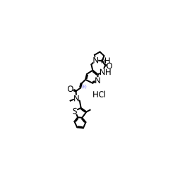 Cc1c(CN(C)C(=O)/C=C/c2cnc3c(c2)CN2CCC[C@H]2C(=O)N3)sc2ccccc12.Cl